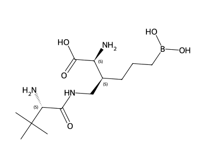 CC(C)(C)[C@H](N)C(=O)NC[C@H](CCCB(O)O)[C@H](N)C(=O)O